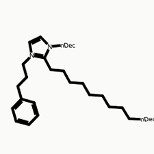 CCCCCCCCCCCCCCCCCCCc1n(CCCCCCCCCC)cc[n+]1CCCc1ccccc1